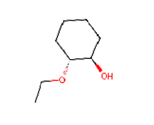 CCO[C@@H]1CCCC[C@H]1O